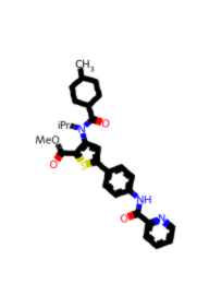 COC(=O)c1sc(-c2ccc(NC(=O)c3ccccn3)cc2)cc1N(C(=O)C1CCC(C)CC1)C(C)C